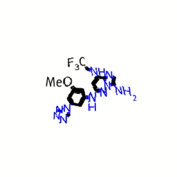 COc1cc(Nc2cc(NCC(F)(F)F)c3ncc(N)n3n2)cc(-n2cnnn2)c1